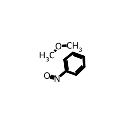 COC.O=Nc1ccccc1